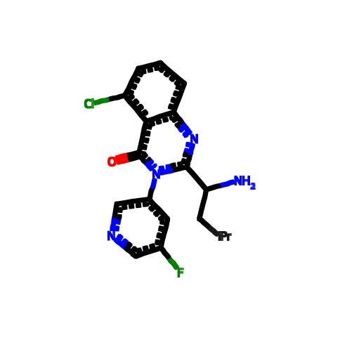 CC(C)CC(N)c1nc2cccc(Cl)c2c(=O)n1-c1cncc(F)c1